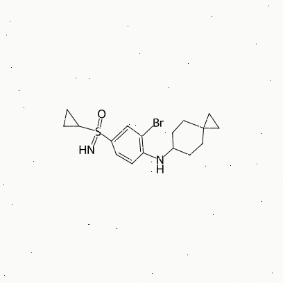 N=S(=O)(c1ccc(NC2CCC3(CC2)CC3)c(Br)c1)C1CC1